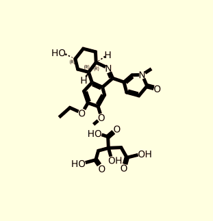 CCOc1cc2c(cc1OC)C(c1ccc(=O)n(C)c1)=N[C@@H]1CC[C@@H](O)C[C@H]21.O=C(O)CC(O)(CC(=O)O)C(=O)O